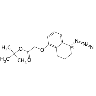 CC(C)(C)OC(=O)COc1cccc2c1CCC[C@H]2N=[N+]=[N-]